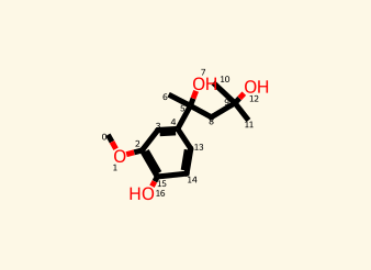 COc1cc(C(C)(O)CC(C)(C)O)ccc1O